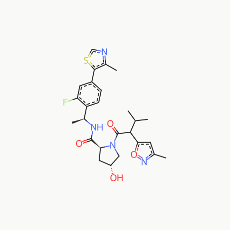 Cc1cc(C(C(=O)N2C[C@H](O)C[C@H]2C(=O)N[C@@H](C)c2ccc(-c3scnc3C)cc2F)C(C)C)on1